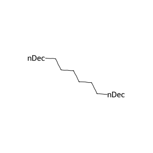 CCCC[CH]CCCCCCCCCCCCCCCCCCCCC